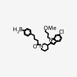 Bc1ccc(CCCC(=O)N2CCCC(c3cc4ccc(Cl)cc4n3CCCOC)C2)cc1